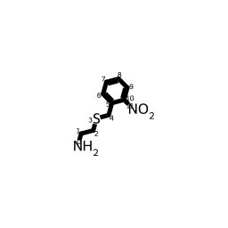 NCCSCc1ccccc1[N+](=O)[O-]